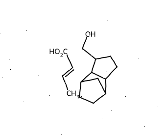 CC=CC(=O)O.OCC1CCC2C3CCC(C3)C12